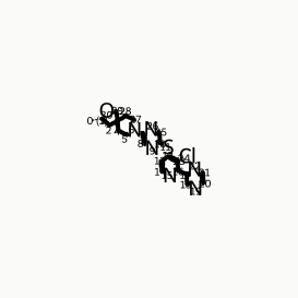 C[C@H]1CC2(CCN(c3cnc(Sc4ccnc(-c5cnccn5)c4Cl)cn3)CC2)CO1